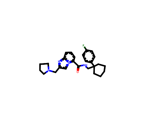 O=C(NCC1(c2ccc(F)cc2)CCCCC1)c1cccc2nc(CN3CCCC3)cn12